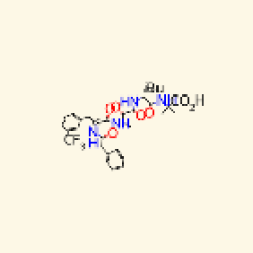 CC[C@H](C)C(NC(=O)C(=O)C(C)NC(=O)[C@H](Cc1cccc(C(F)(F)F)c1)NC(=O)Cc1ccccc1)C(=O)NC(C)(C)C(=O)O